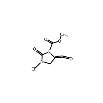 COC(=O)N1C(=O)N(Cl)CC1=C=O